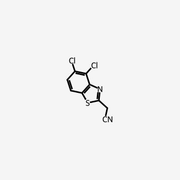 N#CCc1nc2c(Cl)c(Cl)ccc2s1